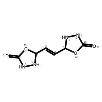 O=C1NNC(C=CC2NNC(=O)O2)O1